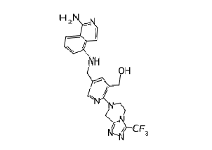 Nc1nccc2c(NCc3cnc(N4CCn5c(nnc5C(F)(F)F)C4)c(CO)c3)cccc12